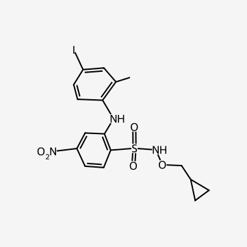 Cc1cc(I)ccc1Nc1cc([N+](=O)[O-])ccc1S(=O)(=O)NOCC1CC1